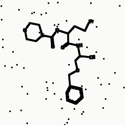 CC(C)CCC(OC(=O)N1CCOCC1)C(=O)NC(C#N)COCc1ccccc1